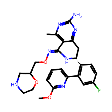 COc1cccc(-c2cc(F)ccc2[C@H]2Cc3nc(N)nc(C)c3/C(=N/OCC3CNCCO3)N2)n1